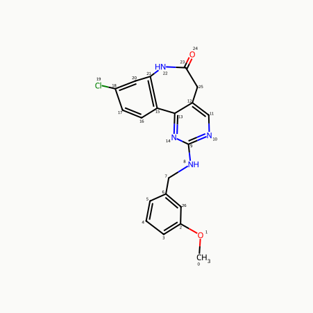 COc1cccc(CNc2ncc3c(n2)-c2ccc(Cl)cc2NC(=O)C3)c1